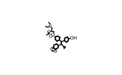 CCN(CC)CC(COc1ccc(C(=C(c2ccc3c(c2)OCO3)C2CC2)c2ccc(O)cc2)cc1)OC(C)=O